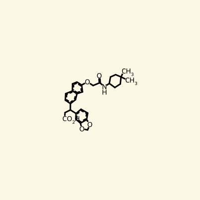 CC1(C)CCC(NC(=O)COc2ccc3ccc(C(CC(=O)O)c4ccc5c(c4)OCO5)cc3c2)CC1